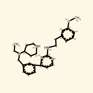 CCN(Cc1cccc(-c2ccnc(NCCc3cccc(OC)c3)n2)c1)C1CCNCC1